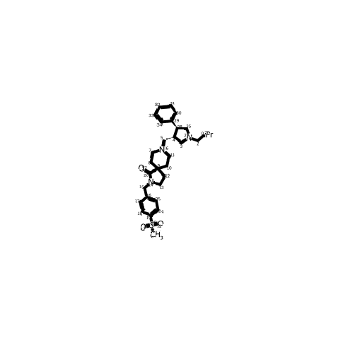 CC(C)CN1C[C@H](CN2CCC3(CC2)CCN(Cc2ccc(S(C)(=O)=O)cc2)C3=O)[C@@H](c2ccccc2)C1